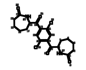 O=C1CCCCC(C(=O)c2cc(Cl)c(C(=O)C3CCCCC(=O)N3)cc2Cl)N1